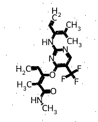 C=CC(Nc1ncc(C(F)(F)F)c(O/C(C=C)=C(/C)C(=O)NC)n1)=C(C)C